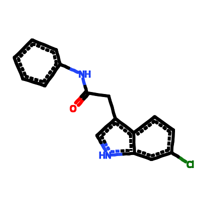 O=C(Cc1c[nH]c2cc(Cl)ccc12)Nc1ccccc1